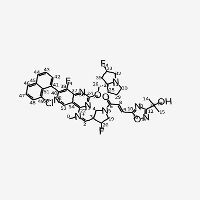 C/[N+](=C/C1CN(C(=O)/C=C/c2nc(C(C)(C)O)no2)C[C@H]1F)c1nc(OC[C@@]23CCCN2C[C@H](F)C3)nc2c(F)c(-c3cccc4cccc(Cl)c34)ncc12